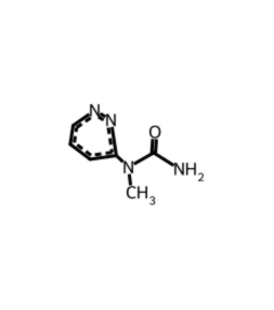 CN(C(N)=O)c1cccnn1